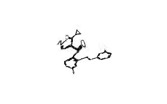 O=C(c1ccc(F)cc1CCc1ccccc1)c1cnoc1C1CC1